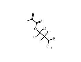 C=C(F)C(=O)OC(CC)(CC)C(F)(F)C(F)C(F)(F)F